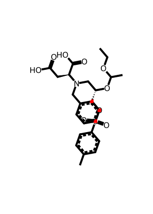 CCOC(C)O[C@H](COS(=O)(=O)c1ccc(C)cc1)CN(Cc1ccccc1)[C@@H](CC(=O)O)C(=O)O